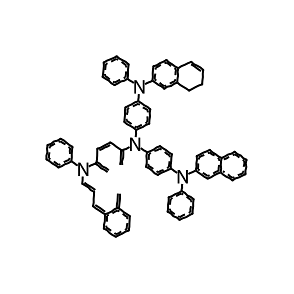 C=C(/C=C\C(=C)N(c1ccc(N(c2ccccc2)c2ccc3c(c2)CCC=C3)cc1)c1ccc(N(c2ccccc2)c2ccc3ccccc3c2)cc1)N(/C=C/C=c1/ccccc1=C)c1ccccc1